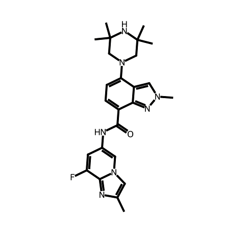 Cc1cn2cc(NC(=O)c3ccc(N4CC(C)(C)NC(C)(C)C4)c4cn(C)nc34)cc(F)c2n1